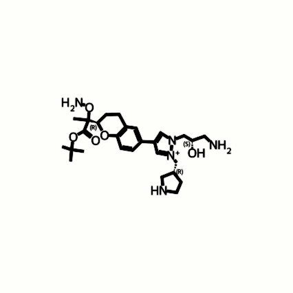 CC(C)(C)OC(=O)C(C)(ON)[C@H]1CCc2cc(-c3cn(C[C@@H](O)CN)[n+](C[C@@H]4CCNC4)c3)ccc2O1